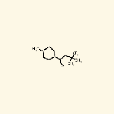 CCC(CC(C)(C)C(F)(F)F)N1CCN(C)CC1